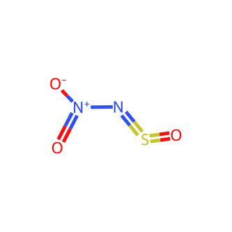 O=S=N[N+](=O)[O-]